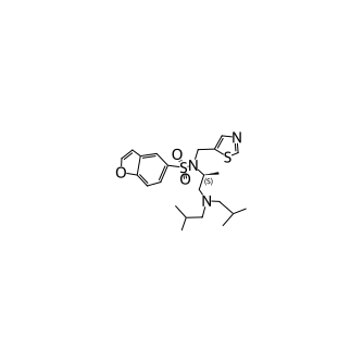 CC(C)CN(CC(C)C)C[C@H](C)N(Cc1cncs1)S(=O)(=O)c1ccc2occc2c1